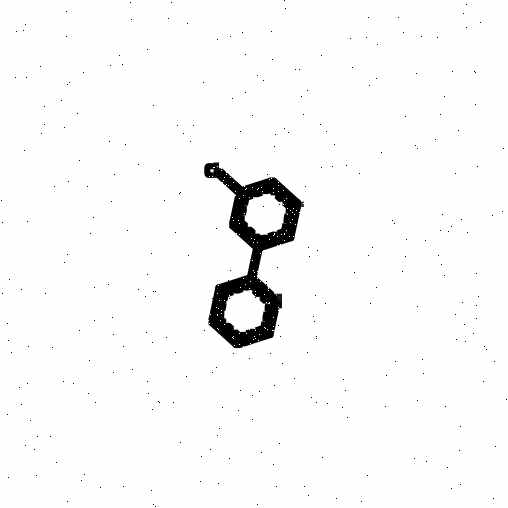 Clc1c[c]cc(-c2ccccn2)c1